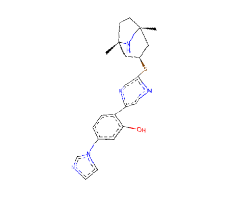 C[C@]12CC[C@](C)(C[C@@H](Sc3cnc(-c4ccc(-n5ccnc5)cc4O)cn3)C1)N2